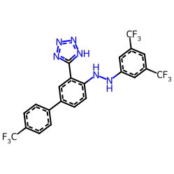 FC(F)(F)c1ccc(-c2ccc(NNc3cc(C(F)(F)F)cc(C(F)(F)F)c3)c(-c3nnn[nH]3)c2)cc1